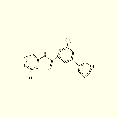 Cc1cc(-c2cccnc2)cc(C(=O)Nc2ccnc(Cl)c2)n1